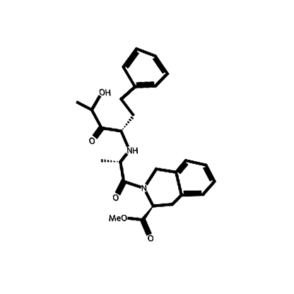 COC(=O)[C@@H]1Cc2ccccc2CN1C(=O)[C@H](C)N[C@@H](CCc1ccccc1)C(=O)C(C)O